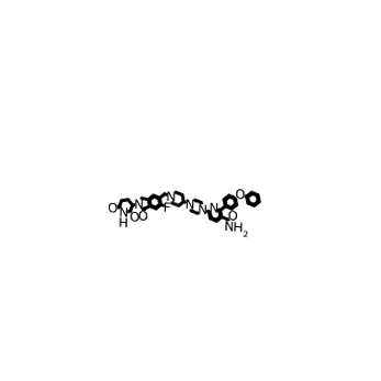 NC(=O)c1ccc(N2CCN(C3CCN(Cc4cc5c(cc4F)C(=O)N(C4CCC(=O)NC4=O)C5)CC3)CC2)nc1-c1ccc(Oc2ccccc2)cc1